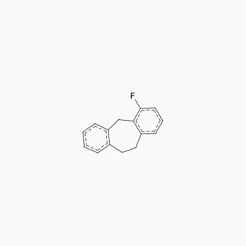 Fc1cccc2c1Cc1ccccc1CC2